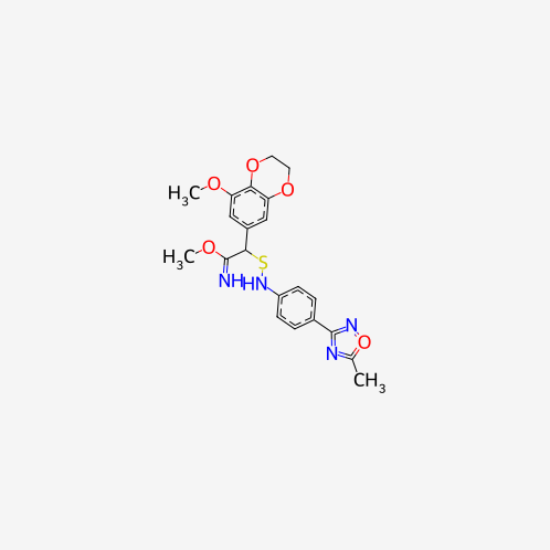 COC(=N)C(SNc1ccc(-c2noc(C)n2)cc1)c1cc(OC)c2c(c1)OCCO2